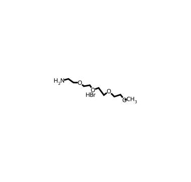 Br.COCCOCCOCCOCCN